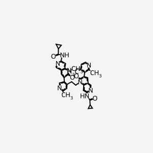 Cc1cc(CCn2c(=O)c(-c3c(C)ccnc3C)cc3cnc(NC(=O)C4CC4)cc32)c(-c2cc3cnc(NC(=O)C4CC4)cc3n(C)c2=O)cn1